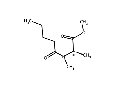 CCCCC(=O)N(C)[C@@H](C)C(=O)OC